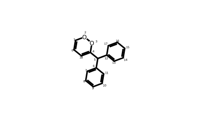 C1=COOC(C(c2ccccc2)c2ccccc2)=C1